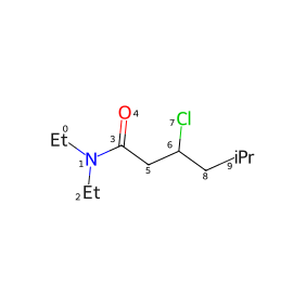 CCN(CC)C(=O)CC(Cl)CC(C)C